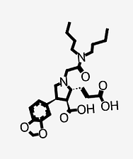 CCCCN(CCCC)C(=O)CN1C[C@H](c2ccc3c(c2)OCO3)[C@H](C(=O)O)[C@H]1C=CC(=O)O